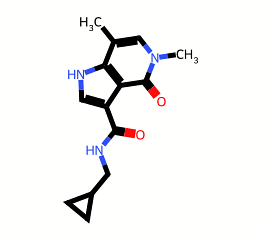 Cc1cn(C)c(=O)c2c(C(=O)NCC3CC3)c[nH]c12